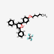 CCCCCOc1ccc(-c2cc(-c3ccccc3)cc(-c3ccccc3)[o+]2)cc1.F[B-](F)(F)F